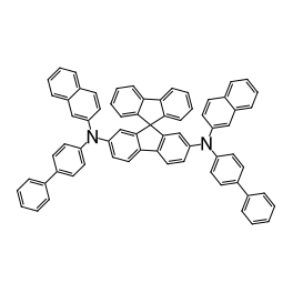 c1ccc(-c2ccc(N(c3ccc4c(c3)C3(c5ccccc5-c5ccccc53)c3cc(N(c5ccc(-c6ccccc6)cc5)c5ccc6ccccc6c5)ccc3-4)c3ccc4ccccc4c3)cc2)cc1